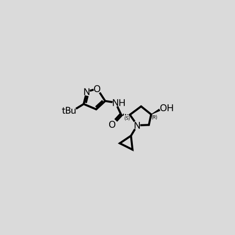 CC(C)(C)c1cc(NC(=O)[C@@H]2C[C@@H](O)CN2C2CC2)on1